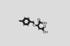 Cc1ccc(COC(CC(=O)O)C(=O)O)cc1